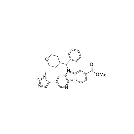 COC(=O)c1ccc2c3ncc(-c4cnnn4C)cc3n(C(c3ccccc3)C3CCOCC3)c2c1